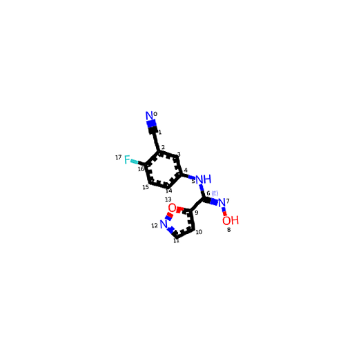 N#Cc1cc(N/C(=N/O)c2ccno2)ccc1F